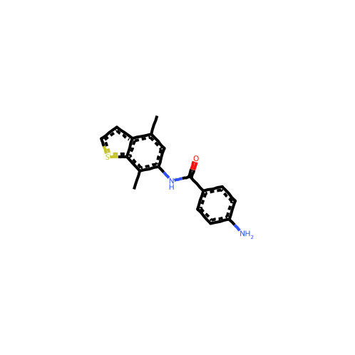 Cc1cc(NC(=O)c2ccc(N)cc2)c(C)c2sccc12